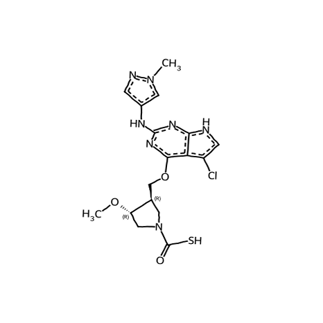 CO[C@H]1CN(C(=O)S)C[C@@H]1COc1nc(Nc2cnn(C)c2)nc2[nH]cc(Cl)c12